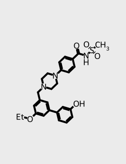 CCOc1cc(CN2CCN(c3ccc(C(=O)NS(C)(=O)=O)cc3)CC2)cc(-c2cccc(O)c2)c1